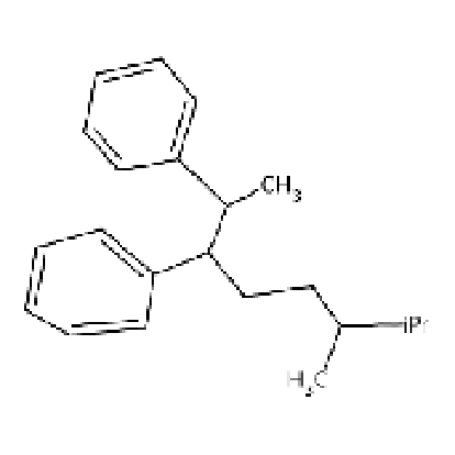 CC(C)C(C)CCC(c1ccccc1)C(C)c1ccccc1